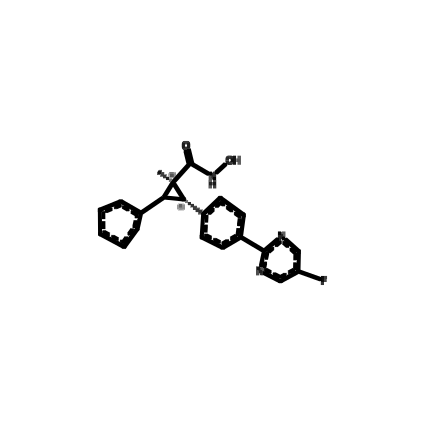 C[C@@]1(C(=O)NO)C(c2ccccc2)[C@H]1c1ccc(-c2ncc(F)cn2)cc1